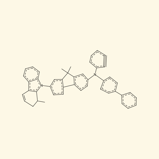 CC1CC=Cc2c1n(-c1ccc3c(c1)C(C)(C)c1cc(N(c4c#cccc4)c4ccc(-c5ccccc5)cc4)ccc1-3)c1ccccc21